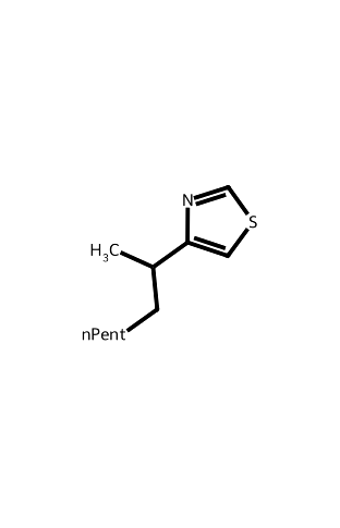 CCCCCCC(C)c1cscn1